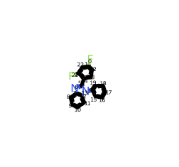 Fc1ccc(-c2nc3ccccc3n2-c2ccccc2)c(F)c1